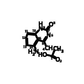 CC(=O)O.Cc1nc(=O)[nH]c2cccc(N)c12